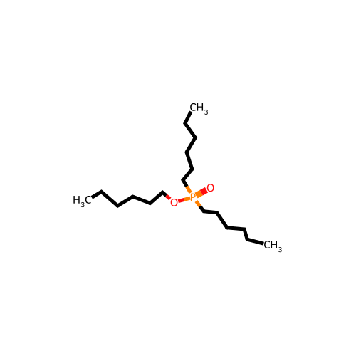 CCCCCCOP(=O)(CCCCCC)CCCCCC